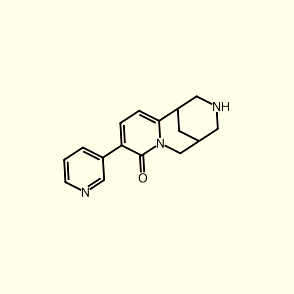 O=c1c(-c2cccnc2)ccc2n1CC1CNCC2C1